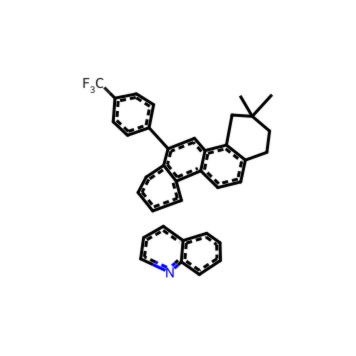 CC1(C)CCc2ccc3c(cc(-c4ccc(C(F)(F)F)cc4)c4ccccc43)c2C1.c1ccc2ncccc2c1